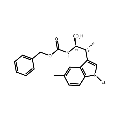 CCn1cc([C@@H](C)[C@@H](NC(=O)OCc2ccccc2)C(=O)O)c2cc(C)ccc21